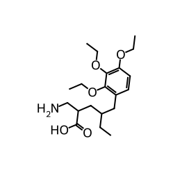 CCOc1ccc(CC(CC)CC(CN)C(=O)O)c(OCC)c1OCC